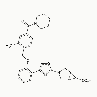 Cc1cc(C(=O)N2CCCCC2)ccc1COc1ccccc1-c1csc(N2CC3C(C2)C3C(=O)O)n1